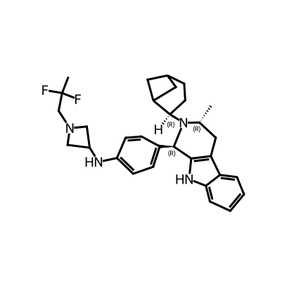 C[C@@H]1Cc2c([nH]c3ccccc23)[C@@H](c2ccc(NC3CN(CC(C)(F)F)C3)cc2)N1[C@@H]1CCC2CC1C2